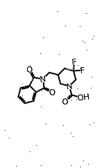 O=C(O)N1CC(CN2C(=O)c3ccccc3C2=O)CC(F)(F)C1